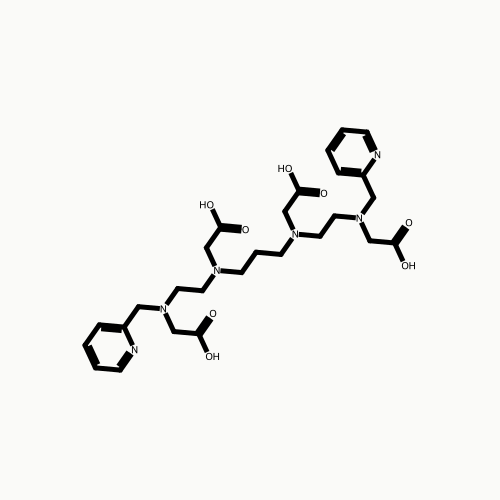 O=C(O)CN(CCCN(CCN(CC(=O)O)Cc1ccccn1)CC(=O)O)CCN(CC(=O)O)Cc1ccccn1